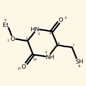 CCOC1NC(=O)C(CS)NC1=O